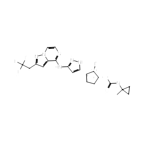 CC1(NC(=O)O[C@@H]2CC[C@H](c3cc(Nc4nccn5nc(CC(F)(F)F)cc45)n[nH]3)[C@H]2F)CC1